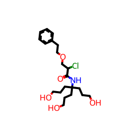 O=C(NC(CCCO)(CCCO)CCCO)C(Cl)COCCc1ccccc1